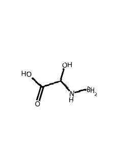 BNC(O)C(=O)O